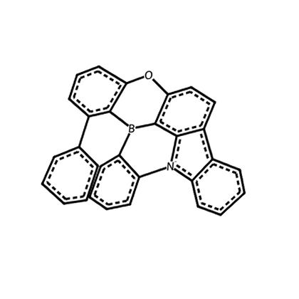 c1ccc(-c2cccc3c2B2c4ccccc4-n4c5ccccc5c5ccc(c2c54)O3)cc1